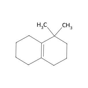 CC1(C)CCCC2=C1CCCC2